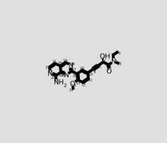 CCN(C)C(=O)[C@H](O)C#Cc1ccc(OC)c(-c2ncc3ccnc(N)c3n2)c1